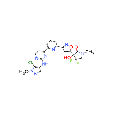 CN1CC(F)(F)C(O)(c2cc(-c3cccc(-c4ccnc(Nc5cnn(C)c5Cl)n4)n3)no2)C1=O